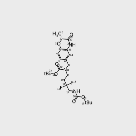 C[C@H]1Oc2ccc(CN(CCC(F)(F)CNC(=O)OC(C)(C)C)C(=O)OC(C)(C)C)cc2NC1=O